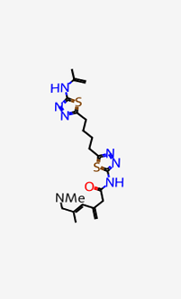 C=C(/C=C(\C)CNC)CC(=O)Nc1nnc(CCCCc2nnc(NC(=C)C)s2)s1